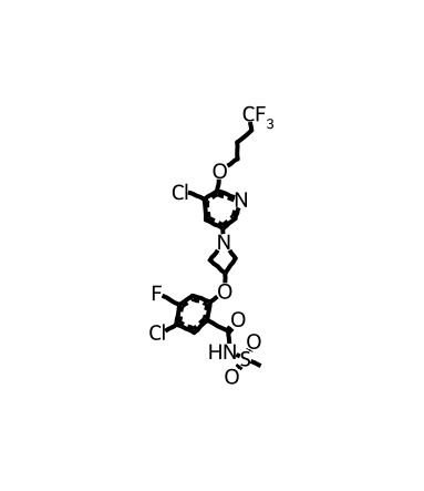 CS(=O)(=O)NC(=O)c1cc(Cl)c(F)cc1OC1CN(c2cnc(OCCCC(F)(F)F)c(Cl)c2)C1